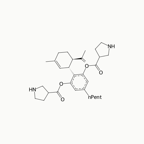 C=C(C)[C@@H]1CCC(C)=C[C@H]1c1c(OC(=O)C2CCNC2)cc(CCCCC)cc1OC(=O)C1CCNC1